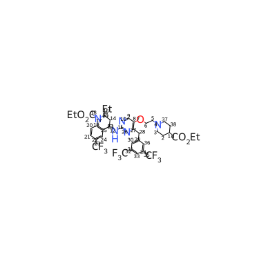 CCOC(=O)C1CCN(CCOc2cnc(N[C@H]3C[C@@H](CC)N(C(=O)OCC)c4ccc(C(F)(F)F)cc43)nc2Cc2cc(C(F)(F)F)cc(C(F)(F)F)c2)CC1